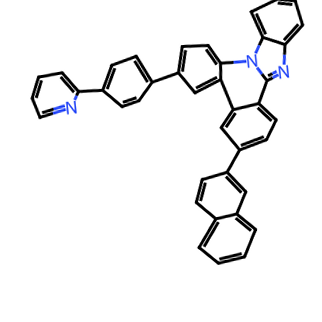 c1ccc(-c2ccc(-c3ccc4c(c3)c3cc(-c5ccc6ccccc6c5)ccc3c3nc5ccccc5n43)cc2)nc1